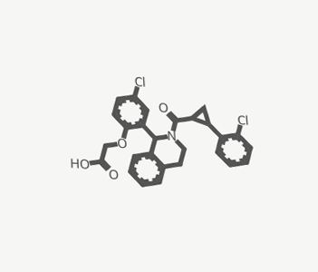 O=C(O)COc1ccc(Cl)cc1C1c2ccccc2CCN1C(=O)C1CC1c1ccccc1Cl